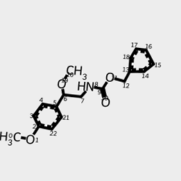 COc1ccc(C(CNC(=O)OCc2ccccc2)OC)cc1